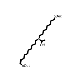 CCCCCCCC/C=C\CCCCCCCCN(CCCCCCCCCCCCCCCCCC)C(C)O